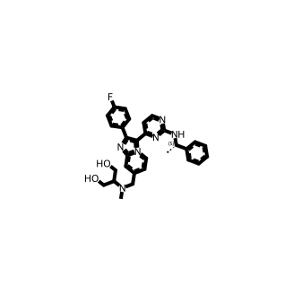 C[C@H](Nc1nccc(-c2c(-c3ccc(F)cc3)nc3cc(CN(C)C(CO)CO)ccn23)n1)c1ccccc1